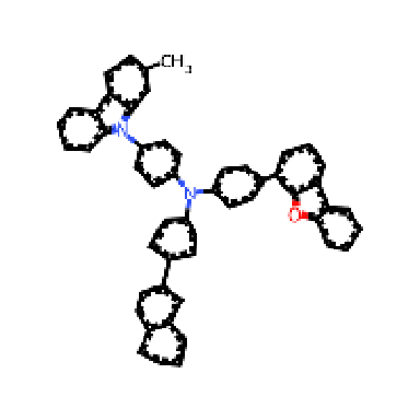 Cc1ccc2c3ccccc3n(-c3ccc(N(c4ccc(-c5ccc6ccccc6c5)cc4)c4ccc(-c5cccc6c5oc5ccccc56)cc4)cc3)c2c1